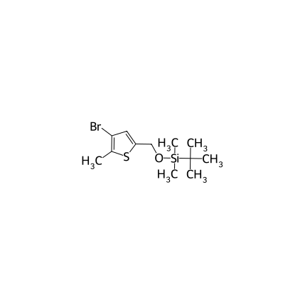 Cc1sc(CO[Si](C)(C)C(C)(C)C)cc1Br